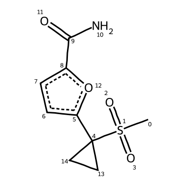 CS(=O)(=O)C1(c2ccc(C(N)=O)o2)CC1